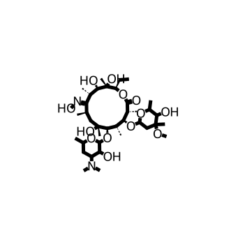 CC[C@H]1OC(=O)[C@H](C)[C@@H](OC2CC(C)(OC)C(O)C(C)O2)[C@H](C)[C@@H](OC2OC(C)CC(N(C)C)C2O)[C@](C)(O)C[C@@H](C)/C(=N\O)[C@H](C)[C@@H](O)[C@]1(C)O